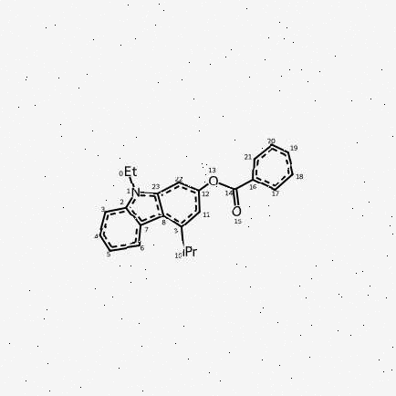 CCn1c2ccccc2c2c(C(C)C)cc(OC(=O)c3ccccc3)cc21